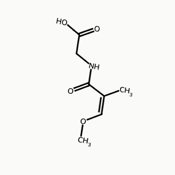 COC=C(C)C(=O)NCC(=O)O